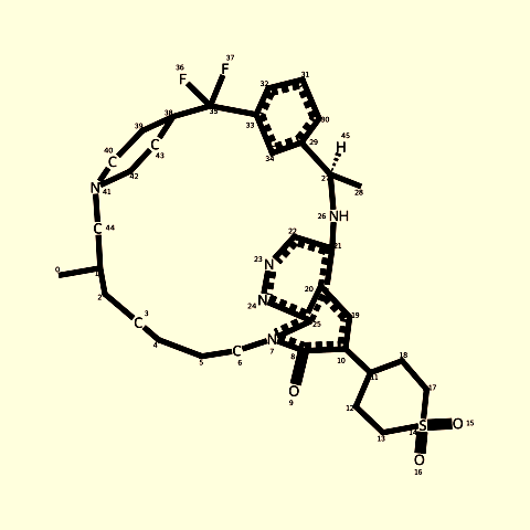 CC1CCCCCn2c(=O)c(C3CCS(=O)(=O)CC3)cc3c(cnnc32)N[C@H](C)c2cccc(c2)C(F)(F)C2CCN(CC2)C1